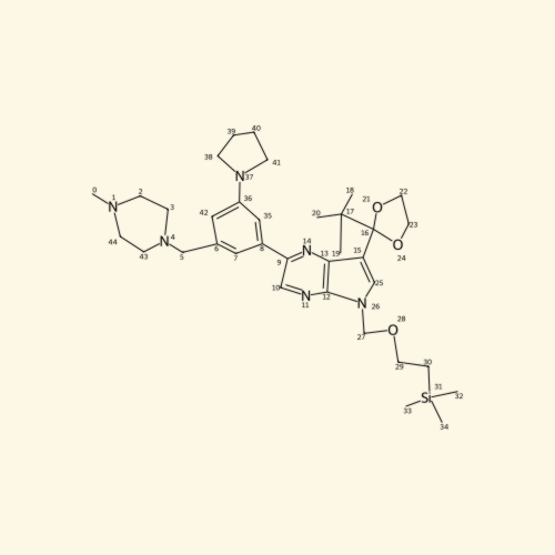 CN1CCN(Cc2cc(-c3cnc4c(n3)c(C3(C(C)(C)C)OCCO3)cn4COCC[Si](C)(C)C)cc(N3CCCC3)c2)CC1